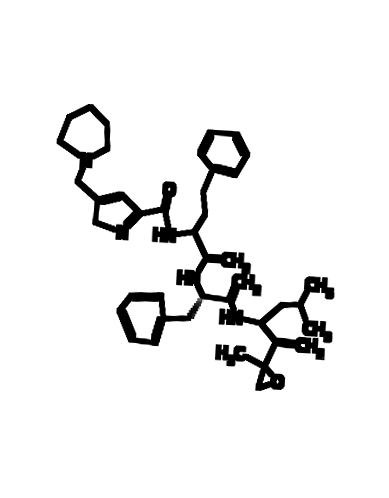 C=C(N[C@@H](Cc1ccccc1)C(=C)NC(CC(C)C)C(=C)C1(C)CO1)C(CCc1ccccc1)NC(=O)C1=NCC(CN2CCCCC2)=C1